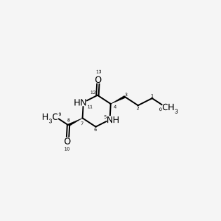 CCCC[C@H]1NC[C@@H](C(C)=O)NC1=O